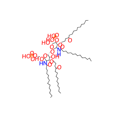 CCCCCCCCCCCCCC(=O)N[C@H]1[C@H](OC[C@H]2O[C@H](OCCOP(=O)(O)O)[C@H](NC(=O)CCCCCCCCCCCCC)[C@@H](OCCCC(=O)CCCCCCCCCC)[C@@H]2O)O[C@H](CO)[C@@H](OP(=O)(O)O)[C@@H]1OCCCC(=O)CCCCCCCCCC